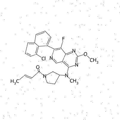 C/C=C/C(=O)N1CCC(N(C)c2nc(OC)nc3c(F)c(-c4cccc5cccc(Cl)c45)ncc23)C1